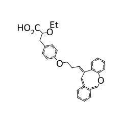 CCOC(Cc1ccc(OCCC=C2C=c3ccccc3=COc3ccccc32)cc1)C(=O)O